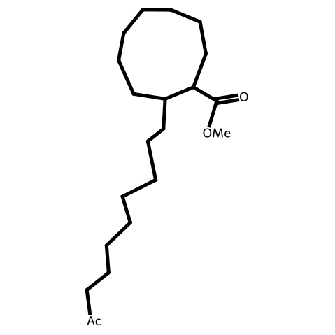 COC(=O)C1CCCCCCCC1CCCCCCCCC(C)=O